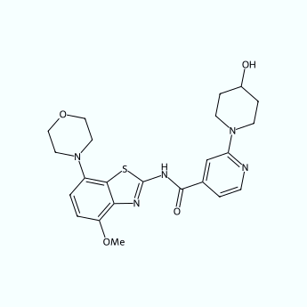 COc1ccc(N2CCOCC2)c2sc(NC(=O)c3ccnc(N4CCC(O)CC4)c3)nc12